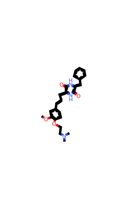 COc1cc(C=CC=c2[nH]c(=O)c(=Cc3ccccc3)[nH]c2=O)ccc1OCCN(C)C